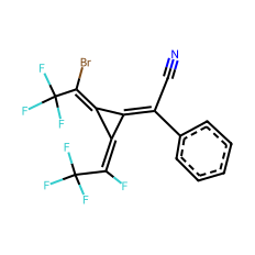 N#C/C(=C1/C(=C(F)C(F)(F)F)/C1=C(/Br)C(F)(F)F)c1ccccc1